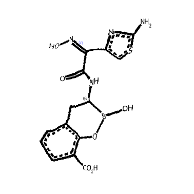 Nc1nc(/C(=N/O)C(=O)N[C@@H]2Cc3cccc(C(=O)O)c3OB2O)cs1